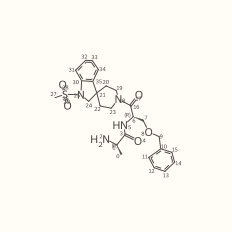 C[C@@H](N)C(=O)N[C@H](COCc1ccccc1)C(=O)N1CCC2(CC1)CN(S(C)(=O)=O)c1ccccc12